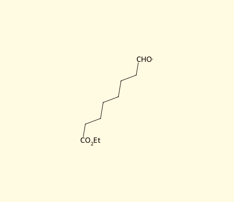 CCOC(=O)CCCCCC[C]=O